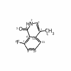 Cc1c[nH]c(=O)c2c(F)cccc12